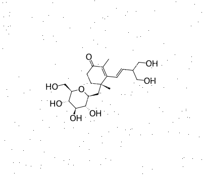 CC1=C(C=CC(CO)CO)[C@](C)(C[C@@H]2O[C@H](CO)[C@@H](O)[C@H](O)[C@H]2O)CCC1=O